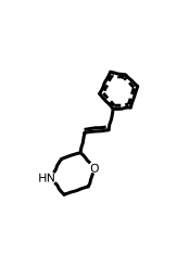 C(=C\C1CNCCO1)/c1ccccc1